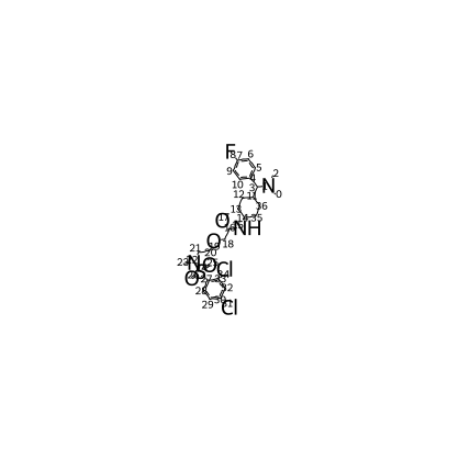 CN(C)C(c1ccc(F)cc1)C1CCC(NC(=O)COCCN(C)S(=O)(=O)c2ccc(Cl)cc2Cl)CC1